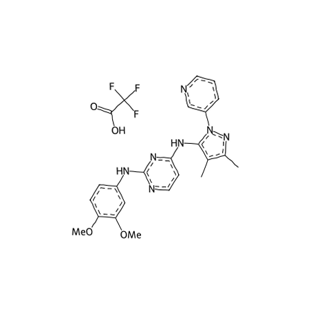 COc1ccc(Nc2nccc(Nc3c(C)c(C)nn3-c3cccnc3)n2)cc1OC.O=C(O)C(F)(F)F